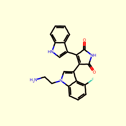 NCCn1cc(C2=C(c3c[nH]c4ccccc34)C(=O)NC2=O)c2c(F)cccc21